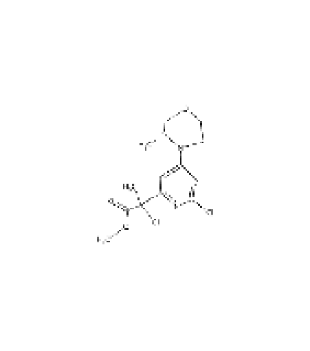 COC(=O)C(C)(C)c1cc(N2CCOC[C@H]2C)nc(Cl)n1